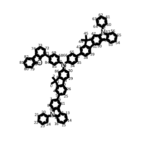 CC1(C)c2cc(-c3ccc4c(c3)c3ccccc3n4-c3ccccc3)ccc2-c2ccc(N(c3ccc(-c4ccc5c(c4)C(C)(C)c4cc6c(cc4-5)c4ccccc4n6-c4ccccc4)cc3)c3ccc(-c4cccc5c4oc4ccccc45)cc3)cc21